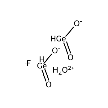 [F].[OH4+2].[O]=[GeH][O-].[O]=[GeH][O-]